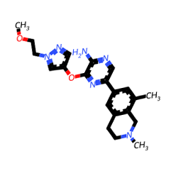 COCCn1cc(Oc2nc(-c3cc(C)c4c(c3)CCN(C)C4)cnc2N)cn1